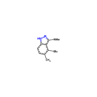 CNc1n[nH]c2ccc(C)c(C(C)(C)C)c12